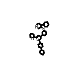 c1ccc(-c2ccc(-c3cc(-c4cccc(-n5c6ccccc6c6ccncc65)c4)cc(-c4ccccn4)n3)cc2)cc1